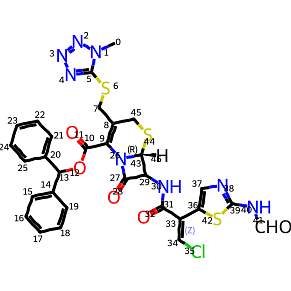 Cn1nnnc1SCC1=C(C(=O)OC(c2ccccc2)c2ccccc2)N2C(=O)C(NC(=O)/C(=C/Cl)c3cnc(NC=O)s3)[C@H]2SC1